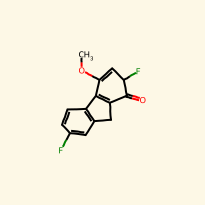 COC1=CC(F)C(=O)C2=C1c1ccc(F)cc1C2